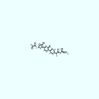 CC(=O)NC[C@H]1CN(c2ccc(-c3ccc(C(C)NCC(N)=O)cc3)c(F)c2)C(=O)O1